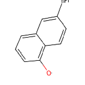 CCCc1ccc2c([O])cccc2c1